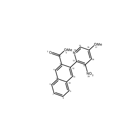 COC(=O)c1cc2ccccc2cc1-c1ncc(OC)cc1[N+](=O)[O-]